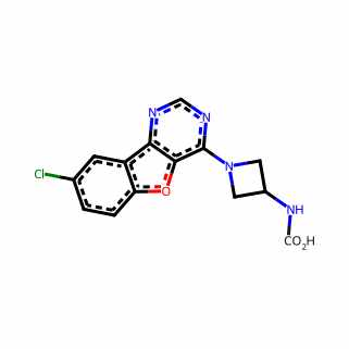 O=C(O)NC1CN(c2ncnc3c2oc2ccc(Cl)cc23)C1